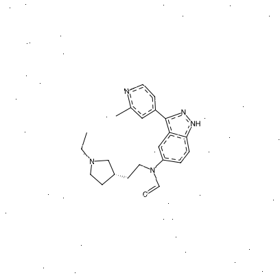 CCN1CC[C@@H](CCN(C=O)c2ccc3[nH]nc(-c4ccnc(C)c4)c3c2)C1